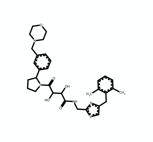 Cc1cccc(C)c1Cc1csc(CNC(=O)C(O)C(O)C(=O)N2CCCC2c2cccc(CN3CCOCC3)c2)n1